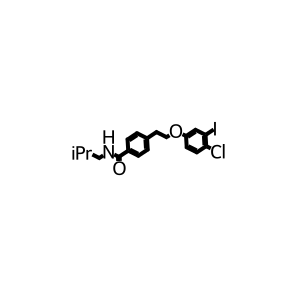 CC(C)CNC(=O)c1ccc(CCOc2ccc(Cl)c(I)c2)cc1